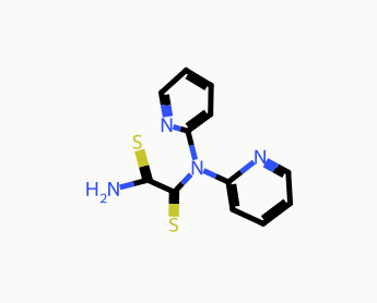 NC(=S)C(=S)N(c1ccccn1)c1ccccn1